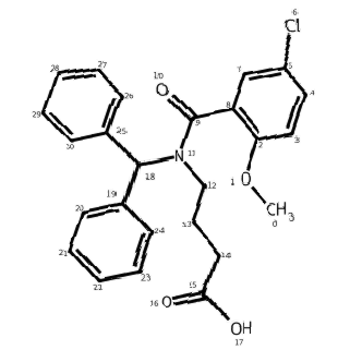 COc1ccc(Cl)cc1C(=O)N(CCCC(=O)O)C(c1ccccc1)c1ccccc1